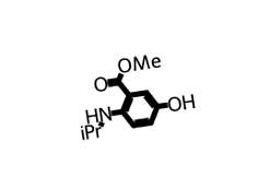 COC(=O)c1cc(O)ccc1NC(C)C